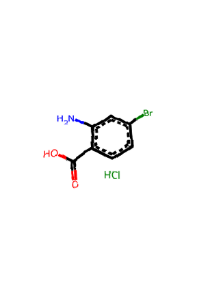 Cl.Nc1cc(Br)ccc1C(=O)O